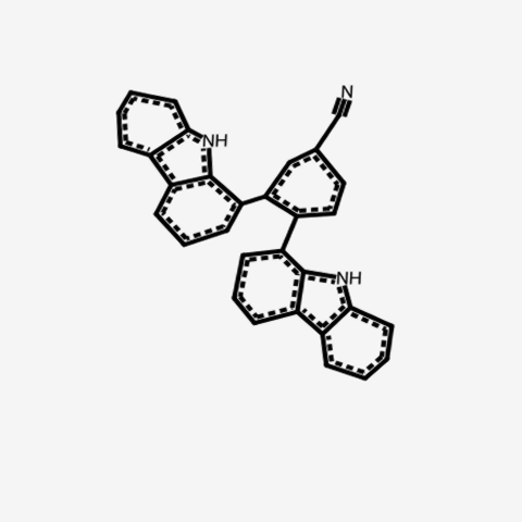 N#Cc1ccc(-c2cccc3c2[nH]c2ccccc23)c(-c2cccc3c2[nH]c2ccccc23)c1